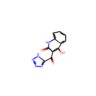 O=C(c1nnn[nH]1)c1c(O)c2ccccc2[nH]c1=O